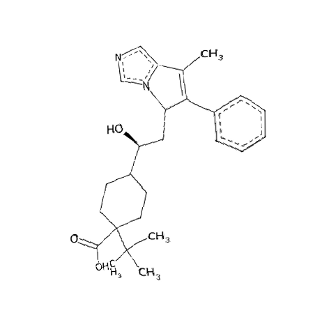 CC1=C(c2ccccc2)C(C[C@H](O)C2CCC(C(=O)O)(C(C)(C)C)CC2)n2cncc21